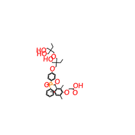 CCC(CO)(CO)COCC(CC)(CO)COc1ccc(P(=O)(C(=O)c2c(C)cc(C)c(OCC(=O)O)c2C)c2ccccc2)cc1